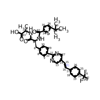 C[C@@H](NC(=O)[C@H](Cc1ccc(-c2ncc(/C=C/c3ccc(C(F)(F)F)cc3)cn2)cc1)NC(=O)c1ccc(C(C)(C)C)s1)C(=O)O